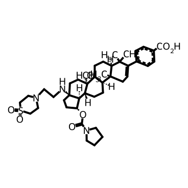 CC1(C)C(c2ccc(C(=O)O)cc2)=CC[C@]2(C)[C@H]3CC[C@@H]4[C@H]5[C@H](OC(=O)N6CCCC6)CC[C@]5(NCCN5CCS(=O)(=O)CC5)CC[C@@]4(C)[C@]3(C)CC[C@@H]12